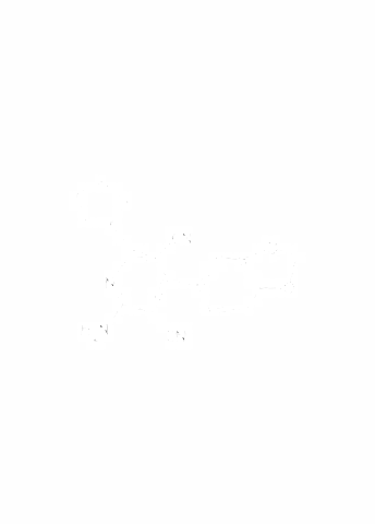 N#Cc1c(N)nc(C2CCCC2)c(C#N)c1-c1ccc2c(c1)OCO2